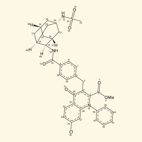 COC(=O)c1c(Cc2ccc(C(=O)N[C@@H]3[C@@H]4C[C@@H]5C[C@H]3C[C@@](NS(C)(=O)=O)(C5)C4)cc2)c(=O)c2ccc(Cl)cc2n1-c1ccccc1